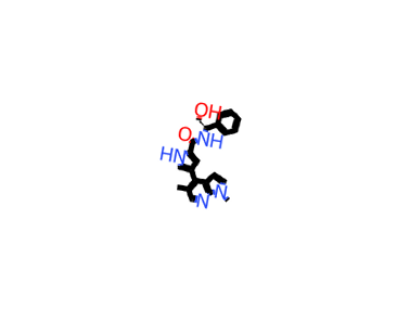 Cc1cnc2c(ccn2C)c1-c1c[nH]c(C(=O)N[C@H](CO)c2ccccc2)c1